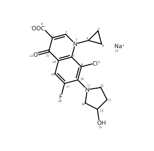 O=C([O-])c1cn(C2CC2)c2c(Cl)c(N3CCC(O)C3)c(F)cc2c1=O.[Na+]